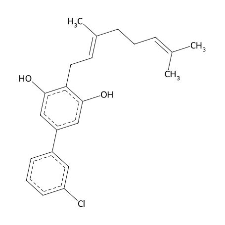 CC(C)=CCC/C(C)=C/Cc1c(O)cc(-c2cccc(Cl)c2)cc1O